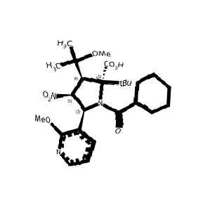 COc1ncccc1[C@H]1[C@@H]([N+](=O)[O-])[C@@H](C(C)(C)OC)[C@@](C(=O)O)(C(C)(C)C)N1C(=O)C1CCCCC1